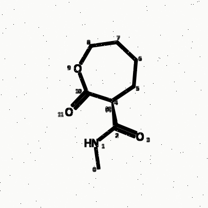 CNC(=O)[C@@H]1CCCCOC1=O